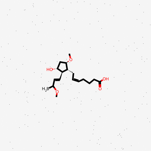 BC(/C=C/[C@@H]1[C@@H](C/C=C\CCCC(=O)O)[C@@H](OC)C[C@H]1O)OC